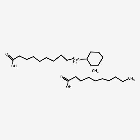 C.CCCC1CCCCC1.CCCCCCCCCC(=O)O.CCCCCCCCCC(=O)O